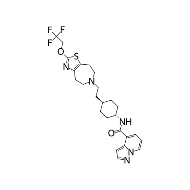 O=C(N[C@H]1CC[C@H](CCN2CCc3nc(OCC(F)(F)F)sc3CC2)CC1)c1cccn2nccc12